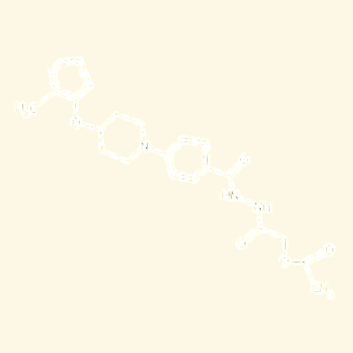 CC(=O)OCC(=O)NNC(=O)c1ccc(N2CCC(Oc3ccccc3C)CC2)cc1